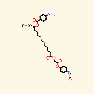 CCCCCC[C@H](CCCCCCCCCCC(=O)OCC(=O)Oc1ccc(N=C=O)cc1)OC(=O)c1ccc(N)cc1